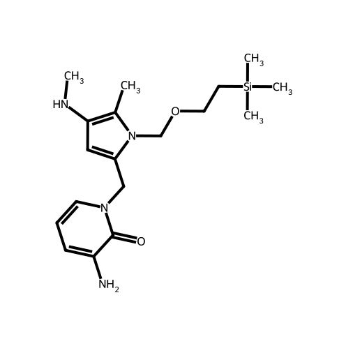 CNc1cc(Cn2cccc(N)c2=O)n(COCC[Si](C)(C)C)c1C